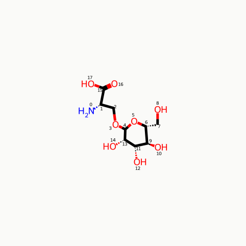 N[C@@H](COC1O[C@H](CO)[C@@H](O)[C@H](O)[C@@H]1O)C(=O)O